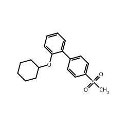 CS(=O)(=O)c1ccc(-c2ccccc2OC2CCCCC2)cc1